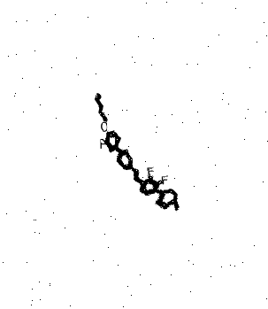 C=CCCCOc1ccc(-c2ccc(CCc3ccc(C4=CCC(C)CC4)c(F)c3F)cc2)cc1F